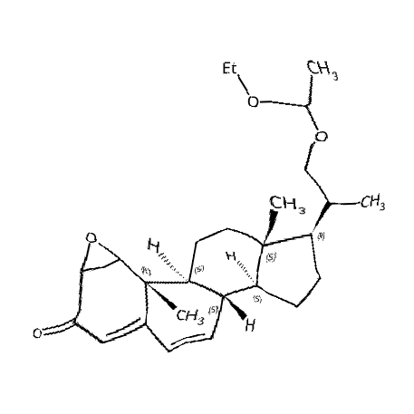 CCOC(C)OCC(C)[C@H]1CC[C@H]2[C@@H]3C=CC4=CC(=O)C5OC5[C@]4(C)[C@H]3CC[C@]12C